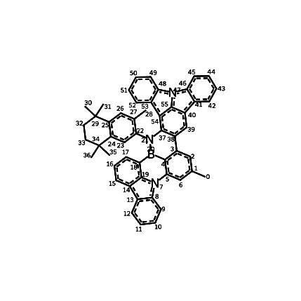 Cc1cc2c3c(c1)-n1c4ccccc4c4cccc(c41)B3N(c1cc3c(cc1C)C(C)(C)CCC3(C)C)c1c-2cc2c3ccccc3n3c4ccccc4c1c23